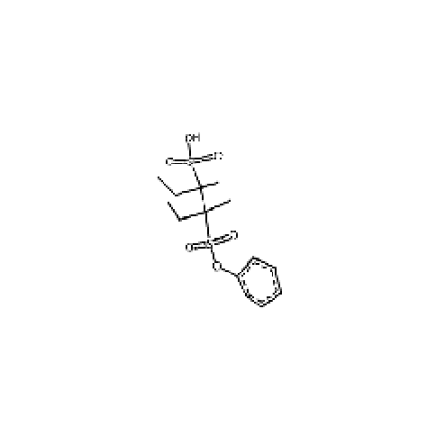 CCC(C)(C(C)(CC)S(=O)(=O)Oc1ccccc1)S(=O)(=O)O